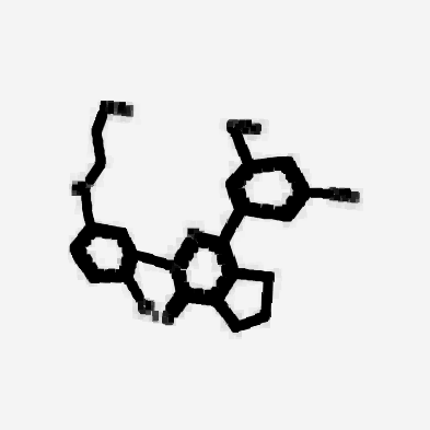 COc1cc(OC)cc(-c2nn(-c3cc(NCCNC(C)=O)ccc3C(F)(F)F)c(=O)c3c2CCC3)c1